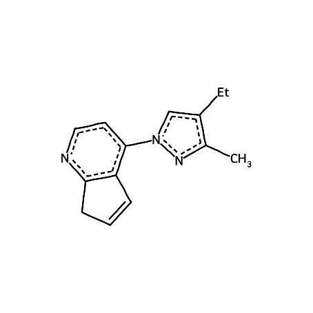 CCc1cn(-c2ccnc3c2C=CC3)nc1C